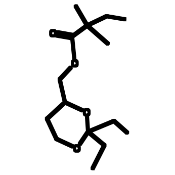 CCC1(CC)OCCC(COC(=O)C(C)(C)CC)O1